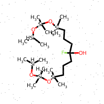 C[SiH](C)O[Si](C)(C)O[Si](C)(C)CCCC(O)(F)CCC[Si](C)(C)O[Si](C)(C)O[SiH](C)C